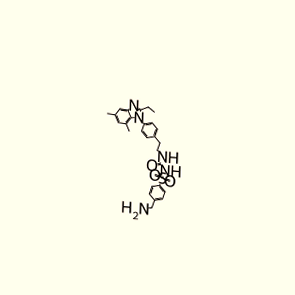 CCc1nc2cc(C)cc(C)c2n1-c1ccc(CCNC(=O)NS(=O)(=O)c2ccc(CN)cc2)cc1